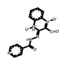 O=CC1=[N+]([O-])c2ccccc2[NH+]([O-])C1=NNC(=O)c1ccncc1